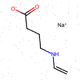 C=CNCCCC(=O)[O-].[Na+]